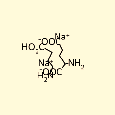 NC(CCC(=O)[O-])C(=O)[O-].NCCCC(=O)O.[Na+].[Na+]